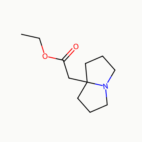 CCOC(=O)CC12CCCN1CCC2